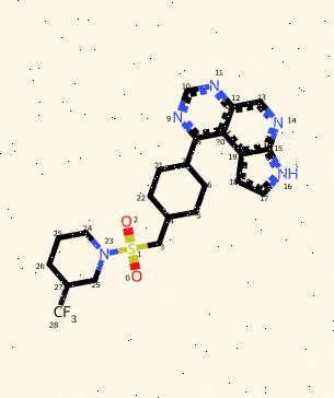 O=S(=O)(CC1CCC(c2ncnc3cnc4[nH]ccc4c23)CC1)N1CCCC(C(F)(F)F)C1